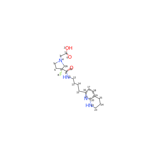 O=C(O)CN1CCC(F)(C(=O)NCCCCc2ccc3c(n2)NCCC3)C1